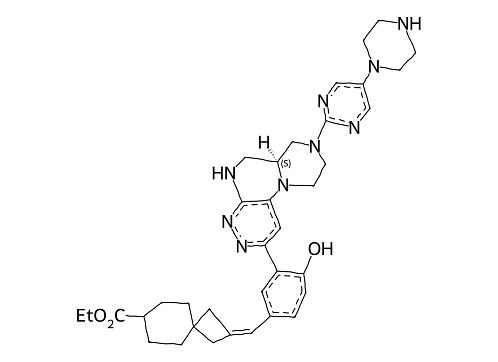 CCOC(=O)C1CCC2(CC1)CC(=Cc1ccc(O)c(-c3cc4c(nn3)NC[C@H]3CN(c5ncc(N6CCNCC6)cn5)CCN43)c1)C2